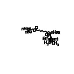 CCCCCCC(CCCC)COC(=O)CCCCCCCCC(CCCCCC)N(CCCN(C)C)C(=O)C(CC)CCCCC